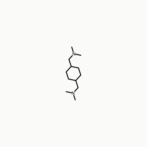 CN(C)CC1CCC(CN(C)C)CC1